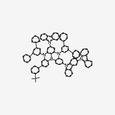 CC(C)(C)c1cccc(-c2ccc3c(c2)N(c2cc(-c4ccccc4)cc(-c4ccccc4)c2)c2cc(-n4c5ccccc5c5ccccc54)cc4c2B3c2ccc(-n3c5ccccc5c5cc(-n6c7ccccc7c7ccccc76)ccc53)cc2N4c2cc(-c3ccccc3)cc(-c3ccccc3)c2)c1